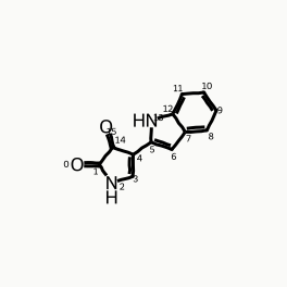 O=C1NC=C(c2cc3ccccc3[nH]2)C1=O